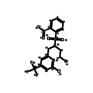 O=[N+]([O-])c1ccccc1S(=O)(=O)N(CCBr)Cc1cc(C(F)(F)F)cc(Cl)n1